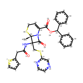 O=C(Cc1cccs1)NC1(CSc2cnccn2)C(=O)N2C(C(=O)OC(c3ccccc3)c3ccccc3)=CCS[C@H]21